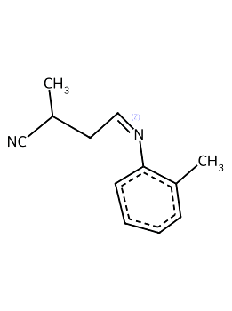 Cc1ccccc1/N=C\CC(C)C#N